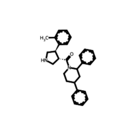 Cc1ccccc1[C@@H]1CNC[C@H]1C(=O)N1CCC(c2ccccc2)CC1c1ccccc1